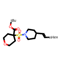 CCCCCCC=CC1CCN(S(=O)(=O)C2(C(=O)OC(C)(C)C)CCOCC2)CC1